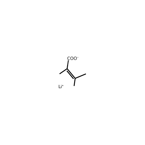 CC(C)=C(C)C(=O)[O-].[Li+]